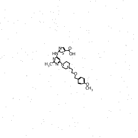 COc1ccc(COCCN2CCN(c3cc(Nc4ncc(C(=O)O)s4)nc(C)n3)CC2)cc1